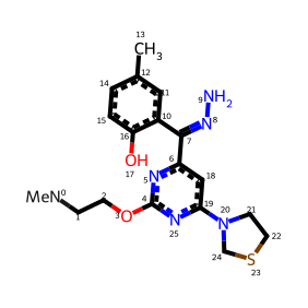 CNCCOc1nc(/C(=N/N)c2cc(C)ccc2O)cc(N2CCSC2)n1